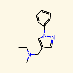 CCN(C)Cc1cnn(-c2ccccc2)c1